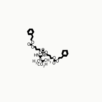 CC(C(=O)O)N(C)C(=N)NP(=O)(OCCCOC(=O)OCCc1ccccc1)OCCCOC(=O)OCCc1ccccc1